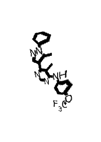 Cc1c(Nc2ccc(OC(F)(F)F)cc2)ncnc1-c1cnn(-c2ccccc2)c1C